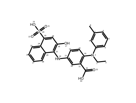 CCN(c1cccc(C)c1)c1ccc(Nc2c(O)cc(S(=O)(=O)O)c3ccccc23)cc1C(=O)O